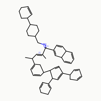 CC(=C\C(C)C1=CC=CC(C2C=CC(C3C=CC=CC3)=CC2C2=CCCC=C2)C1)/C(=N\CC1CCC(C2C=CCCC2)CC1)C1=CC2C=CC=CC2C=C1